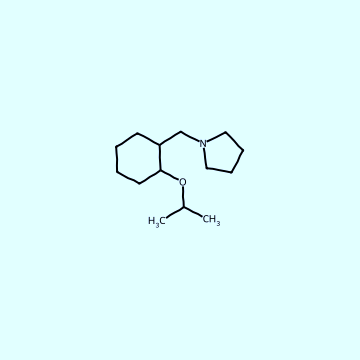 CC(C)OC1CCCCC1CN1CCCC1